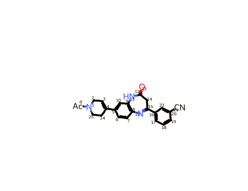 CC(=O)N1CC=C(c2ccc3c(c2)NC(=O)CC(c2cccc(C#N)c2)=N3)CC1